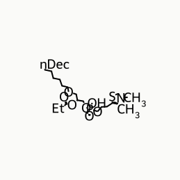 CCCCCCCCCCCCCCCCOCC(COP(=O)(O)OCCC1=C(C)N(C)CS1)OC(=O)CC